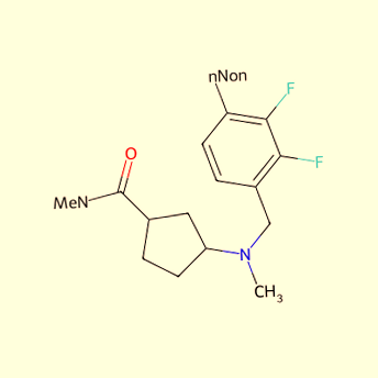 CCCCCCCCCc1ccc(CN(C)C2CCC(C(=O)NC)C2)c(F)c1F